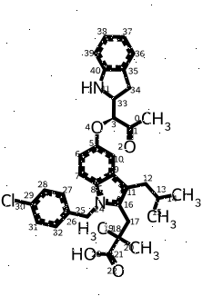 CC(=O)[C@@H](Oc1ccc2c(c1)c(CC(C)C)c(CC(C)(C)C(=O)O)n2Cc1ccc(Cl)cc1)C1Cc2ccccc2N1